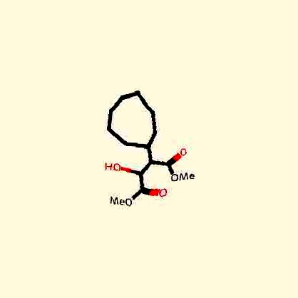 COC(=O)C(O)C(C(=O)OC)C1CCCCCCC1